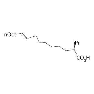 CCCCCCCCC=CCCCCCCC(C(=O)O)C(C)C